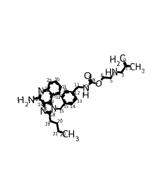 C=C(C)CNCCOC(=O)NCc1ccc(Cn2c(CCCC)nc3c(N)nc4ccccc4c32)cc1